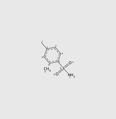 C.Cc1ccc(S(N)(=O)=O)cc1